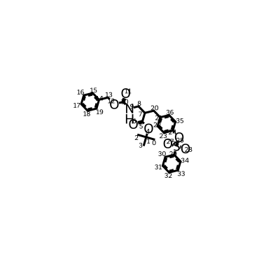 CC(C)(C)OC(=O)C(CNC(=O)OCc1ccccc1)Cc1ccc(OS(=O)(=O)c2ccccc2)cc1